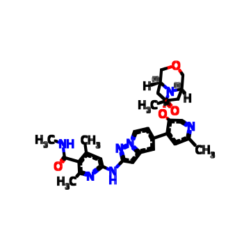 CNC(=O)c1c(C)cc(Nc2cc3cc(-c4cc(C)ncc4O[C@H]4C[C@H]5COC[C@@H](C4)N5C(C)=O)ccn3n2)nc1C